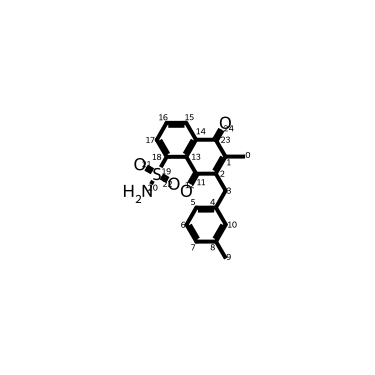 CC1=C(Cc2cccc(C)c2)C(=O)c2c(cccc2S(N)(=O)=O)C1=O